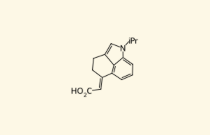 CC(C)n1cc2c3c(cccc31)/C(=C/C(=O)O)CC2